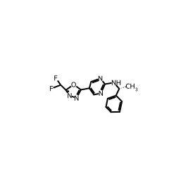 C[C@@H](Nc1ncc(-c2nnc(C(F)F)o2)cn1)c1ccccc1